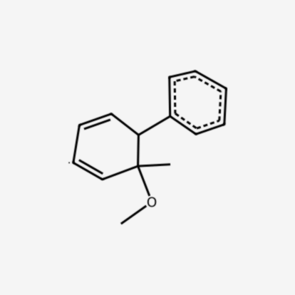 COC1(C)C=[C]C=CC1c1ccccc1